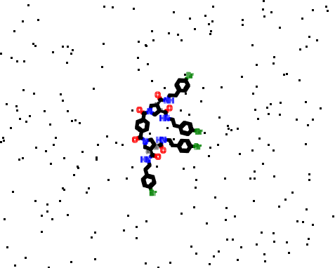 O=C(NCCc1ccc(Br)cc1)[C@H]1CN(C(=O)c2ccc(C(=O)N3C[C@H](C(=O)NCCc4ccc(Br)cc4)[C@@H](C(=O)NCCc4ccc(Br)cc4)C3)cc2)C[C@@H]1C(=O)NCCc1ccc(Br)cc1